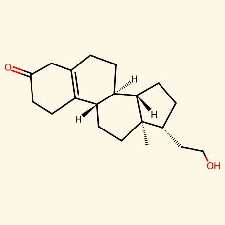 C[C@]12CC[C@@H]3C4=C(CC[C@H]3[C@@H]1CC[C@@H]2CCO)CC(=O)CC4